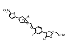 CC(=O)NC[C@H]1CN(c2ccc(OC[C@H]3C4CN(c5ccc([N+](=O)[O-])s5)C[C@@H]43)c(F)c2)C(=O)O1